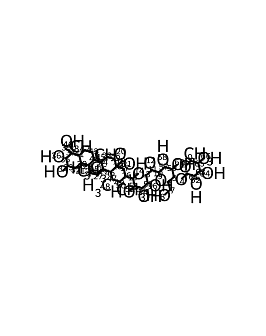 CC1OC(OC2C(CO)OC(C(=O)C3OC(C4CC5(C(=O)O)CCC6(C)C(=CCC7C8(C)CC(O)C(O)C(C)(CO)C8CCC76C)C5C(C)C4C)C(O)C(O)C3O)C(O)C2O)C(O)C(O)C1O